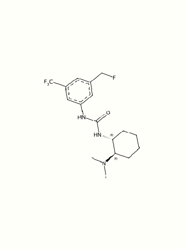 CN(C)[C@@H]1CCCC[C@H]1NC(=O)Nc1cc(CF)cc(C(F)(F)F)c1